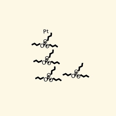 CCCCOP(OCCCC)OCCCC.CCCCOP(OCCCC)OCCCC.CCCCOP(OCCCC)OCCCC.CCCCOP(OCCCC)OCCCC.[Pt]